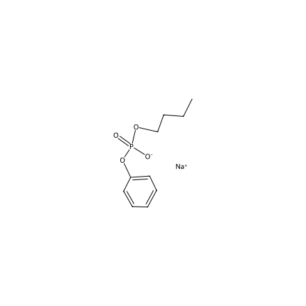 CCCCOP(=O)([O-])Oc1ccccc1.[Na+]